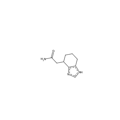 NC(=O)CC1CCCc2[nH]cnc21